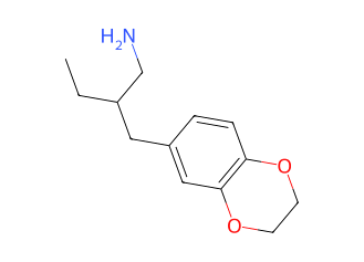 CCC(CN)Cc1ccc2c(c1)OCCO2